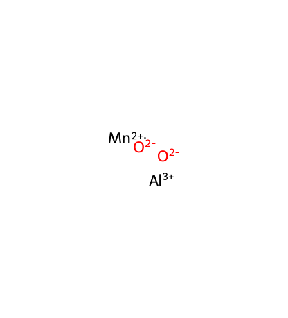 [Al+3].[Mn+2].[O-2].[O-2]